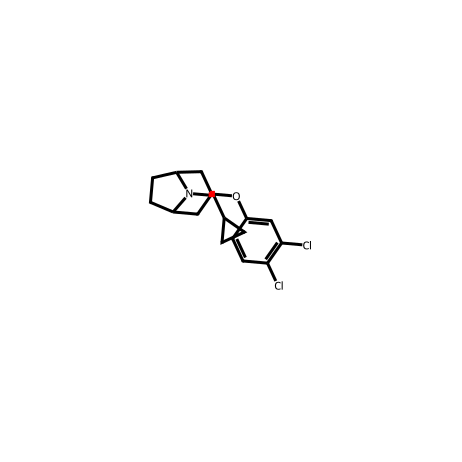 Clc1ccc(OC2CC3CCC(C2)N3CC2CC2)cc1Cl